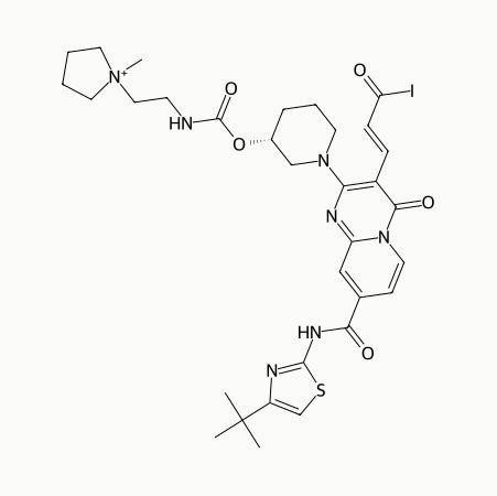 CC(C)(C)c1csc(NC(=O)c2ccn3c(=O)c(/C=C/C(=O)I)c(N4CCC[C@@H](OC(=O)NCC[N+]5(C)CCCC5)C4)nc3c2)n1